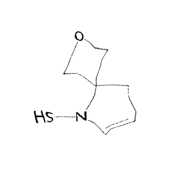 SN1C=CCC12COC2